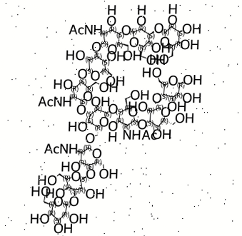 CC(=O)N[C@H]1[C@H](OC[C@H]2O[C@@H](O[C@H]3[C@H](O)[C@@H](NC(C)=O)[C@H](O[C@H]4[C@@H](O)[C@@H](CO)O[C@@H](O[C@H]5[C@H](O)[C@@H](O)[C@H](O)O[C@@H]5CO)[C@@H]4O)O[C@@H]3CO)[C@H](O)[C@@H](O[C@@H]3O[C@H](CO)[C@@H](O[C@@H]4O[C@H](CO)[C@H](O)[C@H](O[C@@H]5O[C@H](CO)[C@@H](O[C@@H]6O[C@H](CO)[C@H](O)[C@H](O[C@H]7O[C@H](CO)[C@H](O)[C@H](O)[C@H]7O)[C@H]6O)[C@H](O)[C@H]5NC(C)=O)[C@H]4O)[C@H](O)[C@H]3NC(C)=O)[C@H]2O)O[C@H](CO)[C@@H](O[C@@H]2O[C@H](CO)[C@H](O)[C@H](O[C@H]3O[C@H](CO)[C@H](O)[C@H](O)[C@H]3O)[C@H]2O)[C@@H]1O